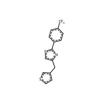 FC(F)(F)c1ccc(-c2nc(Cc3ccsc3)[c]s2)cc1